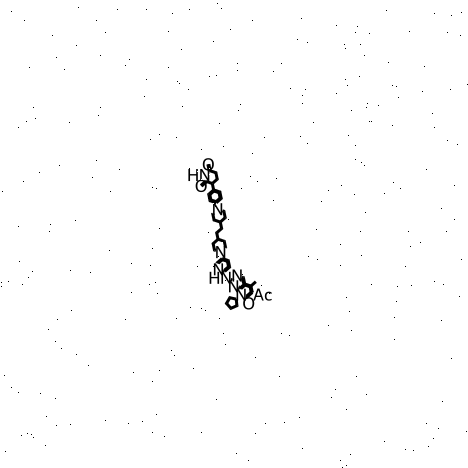 CC(=O)c1c(C)c2cnc(Nc3ccc(N4CCC(CCC5CCN(c6ccc(C7CCC(=O)NC7=O)cc6)CC5)CC4)cn3)nc2n(C2CCCC2)c1=O